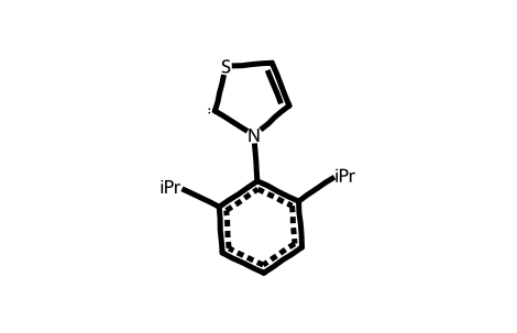 CC(C)c1cccc(C(C)C)c1N1[C]SC=C1